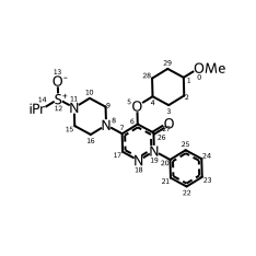 COC1CCC(Oc2c(N3CCN([S+]([O-])C(C)C)CC3)cnn(-c3ccccc3)c2=O)CC1